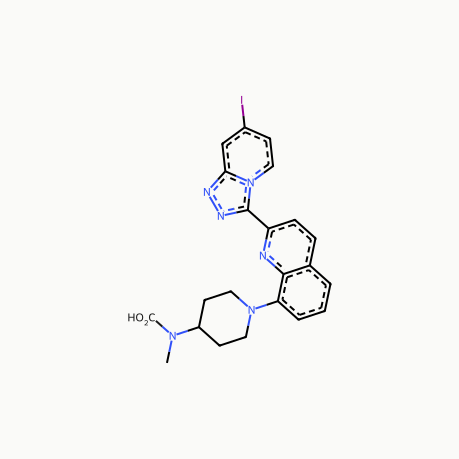 CN(C(=O)O)C1CCN(c2cccc3ccc(-c4nnc5cc(I)ccn45)nc23)CC1